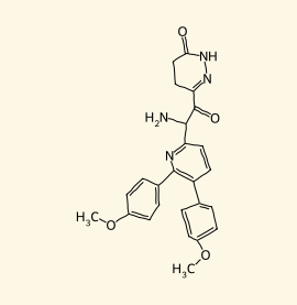 COc1ccc(-c2ccc(C(N)C(=O)C3=NNC(=O)CC3)nc2-c2ccc(OC)cc2)cc1